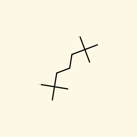 [CH2]C(C)(C)CCCC([CH2])(C)C